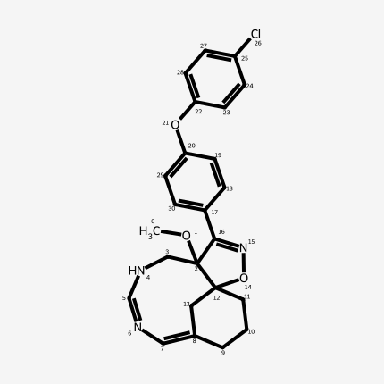 COC12CN/C=N\C=C3\CCCC1(C3)ON=C2c1ccc(Oc2ccc(Cl)cc2)cc1